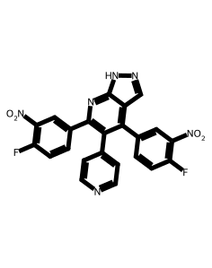 O=[N+]([O-])c1cc(-c2nc3[nH]ncc3c(-c3ccc(F)c([N+](=O)[O-])c3)c2-c2ccncc2)ccc1F